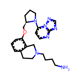 NCCCCN1CCc2cccc(OC[C@H]3CCCN3c3ccnc4ncnn34)c2C1